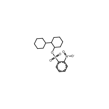 O=[N+]([O-])c1ccccc1S(=O)(=O)OC1CCCCC1C1CCCCC1